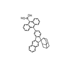 OB(O)c1c2ccccc2c(-c2ccc3c(c2)-c2cc4ccccc4cc2C32C3CC4CC(C3)CC2C4)c2ccccc12